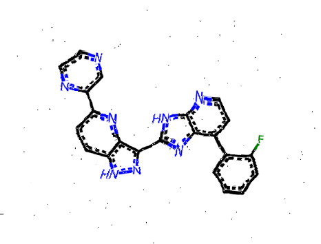 Fc1ccccc1-c1ccnc2[nH]c(-c3n[nH]c4ccc(-c5cnccn5)nc34)nc12